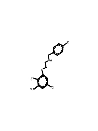 Nc1c(OCCNCc2ccc(Cl)cc2)cc(Cl)cc1[N+](=O)[O-]